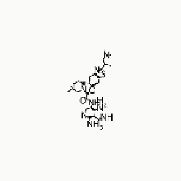 CC(CN(C)C)c1nc2cc([C@H]3CC[C@H](C)CN3C(=O)C(=O)Nc3cnc(N)c(C=N)c3N)ccc2s1